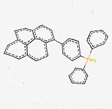 S=P(c1ccccc1)(c1ccccc1)c1ccc(-c2ccc3ccc4cccc5ccc2c3c45)cc1